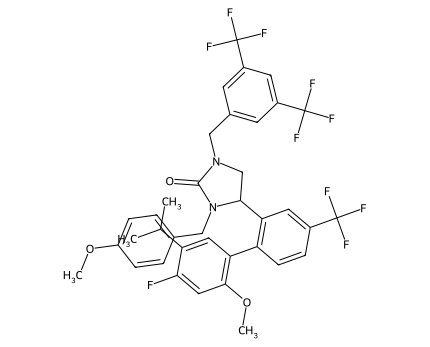 COc1ccc(CN2C(=O)N(Cc3cc(C(F)(F)F)cc(C(F)(F)F)c3)CC2c2cc(C(F)(F)F)ccc2-c2cc(C(C)C)c(F)cc2OC)cc1